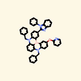 c1ccc(CN2c3ccc(Oc4ccccn4)cc3B3c4cc(-c5nc6ccccc6n5-c5ccccc5)ccc4N(Cc4ccccc4)c4cccc2c43)cc1